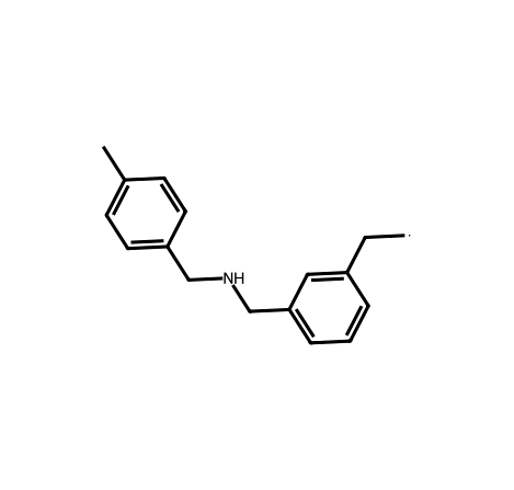 [CH2]Cc1cccc(CNCc2ccc(C)cc2)c1